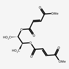 COC(=O)/C=C/C(=O)O[C@@H](C(=O)O)[C@@H](OC(=O)/C=C/C(=O)OC)C(=O)O